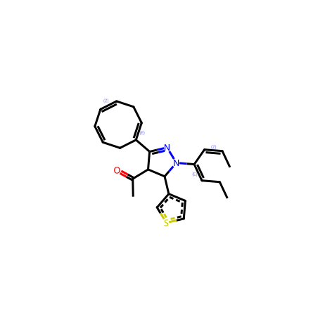 C/C=C\C(=C/CC)N1N=C(/C2=C/C/C=C\C=CC2)C(C(C)=O)C1c1ccsc1